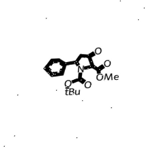 COC(=O)C1C(=O)CC(c2ccccc2)N1C(=O)OC(C)(C)C